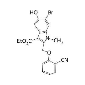 CCOC(=O)c1c(COc2ccccc2C#N)n(C)c2cc(Br)c(O)cc12